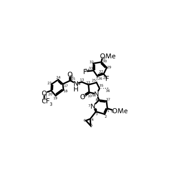 COc1cc(C2CC2)nc(N2C(=O)C(CNC(=O)c3ccc(OC(F)(F)F)cc3)[C@H](c3c(F)cc(OC)cc3F)[C@@H]2C)c1